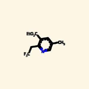 CCOC(=O)c1cc(C)cnc1CC(F)(F)F